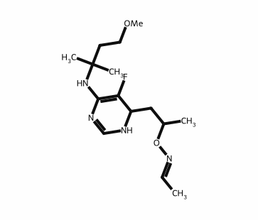 C/C=N/OC(C)CC1NC=NC(NC(C)(C)CCOC)=C1F